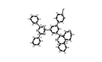 Cc1ccc(-c2cc(-c3nc(-c4ccccc4)nc(-c4ccccc4)n3)cc(-c3nc4ccccc4c4ccncc34)c2)cc1